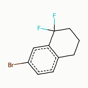 FC1(F)CCCc2ccc(Br)cc21